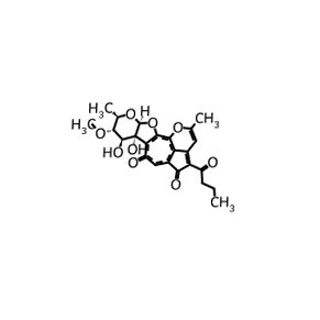 CCCC(=O)C1=C2C=C(C)Oc3c4c(c(=O)cc(c32)C1=O)[C@]1(O)[C@H](O4)O[C@H](C)[C@@H](OC)[C@@H]1O